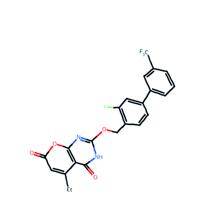 CCc1cc(=O)oc2nc(OCc3ccc(-c4cccc(C(F)(F)F)c4)cc3F)[nH]c(=O)c12